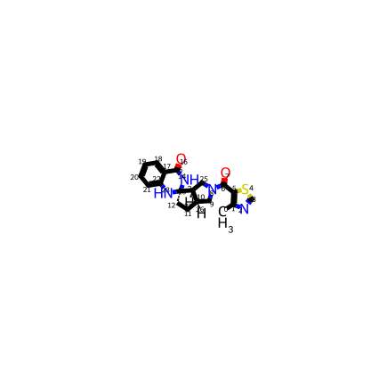 Cc1ncsc1C(=O)N1C[C@H]2CC[C@]3(NC(=O)c4ccccc4N3)[C@H]2C1